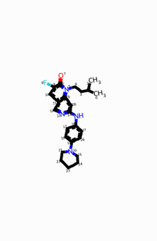 CC(C)CCn1c(=O)c(F)cc2cnc(Nc3ccc(N4CCCCC4)cc3)cc21